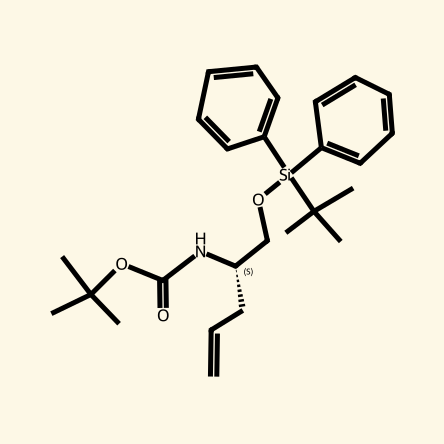 C=CC[C@@H](CO[Si](c1ccccc1)(c1ccccc1)C(C)(C)C)NC(=O)OC(C)(C)C